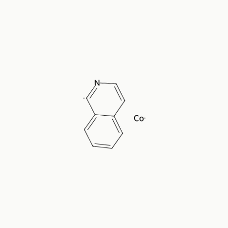 [Co].[c]1nccc2ccccc12